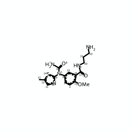 COc1ccc(N(C(N)=O)c2ncc(C)s2)cc1C(=O)NCCCN